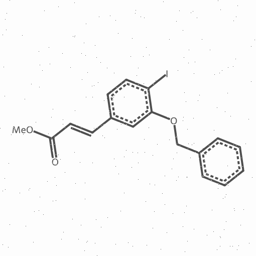 COC(=O)/C=C/c1ccc(I)c(OCc2ccccc2)c1